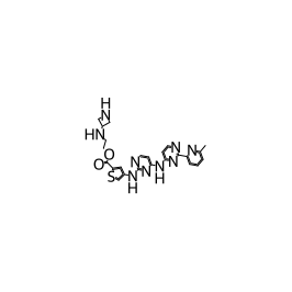 Cc1cccc(-c2nccc(Nc3ccnc(Nc4csc(C(=O)OCCNC5CNC5)c4)n3)n2)n1